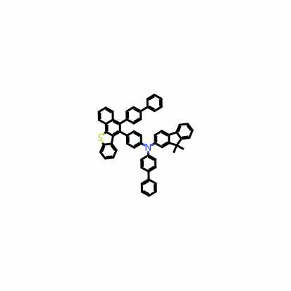 CC1(C)c2ccccc2-c2ccc(N(c3ccc(-c4ccccc4)cc3)c3ccc(-c4c(-c5ccc(-c6ccccc6)cc5)c5ccccc5c5sc6ccccc6c45)cc3)cc21